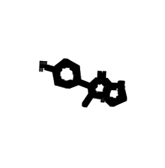 Cc1c(-c2ccc(F)cc2)nc2sccn12